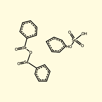 O=[Se](=O)(O)O.O=[Se](O[Se](=O)c1ccccc1)c1ccccc1.c1ccccc1